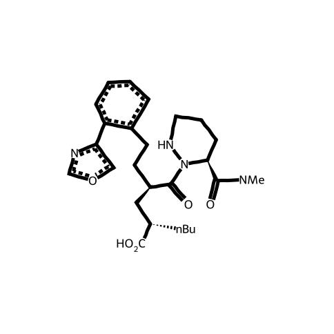 CCCC[C@@H](C[C@@H](CCc1ccccc1-c1cocn1)C(=O)N1NCCC[C@H]1C(=O)NC)C(=O)O